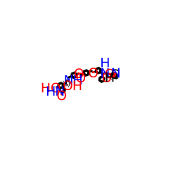 O=C(NC(c1ccccc1)c1cccc(OCc2ccc(C(=O)Oc3ccc(CNC[C@@H](O)c4ccc(O)c5[nH]c(=O)ccc45)cc3)cc2)c1)O[C@H]1CN2CCC1CC2